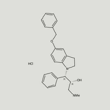 CNC[C@@H](O)[C@H](c1ccccc1)N1CCc2cc(OCc3ccccc3)ccc21.Cl